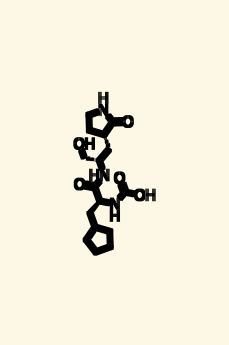 O=C(O)N[C@@H](CC1CCCC1)C(=O)N[C@H](CO)C[C@@H]1CCNC1=O